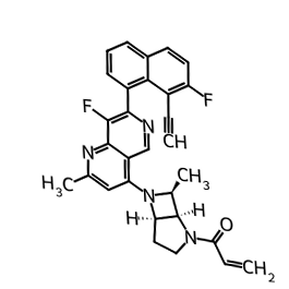 C#Cc1c(F)ccc2cccc(-c3ncc4c(N5[C@@H]6CCN(C(=O)C=C)[C@@H]6[C@@H]5C)cc(C)nc4c3F)c12